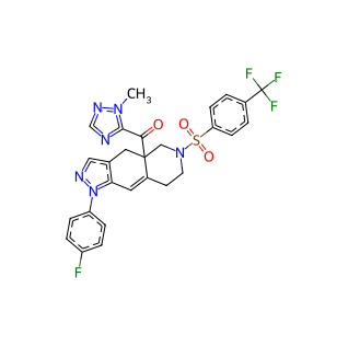 Cn1ncnc1C(=O)C12Cc3cnn(-c4ccc(F)cc4)c3C=C1CCN(S(=O)(=O)c1ccc(C(F)(F)F)cc1)C2